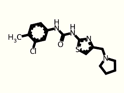 Cc1ccc(NC(=O)Nc2nc(CN3CCCC3)cs2)cc1Cl